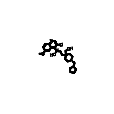 COc1ccc2ncc(Cl)c([C@H](O)CCC3(CO)CCN(CC4CCCC4)CC3)c2c1